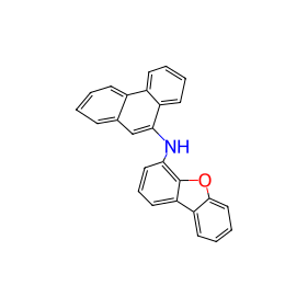 c1ccc2c(c1)cc(Nc1cccc3c1oc1ccccc13)c1ccccc12